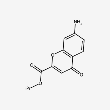 CC(C)OC(=O)c1cc(=O)c2ccc(N)cc2o1